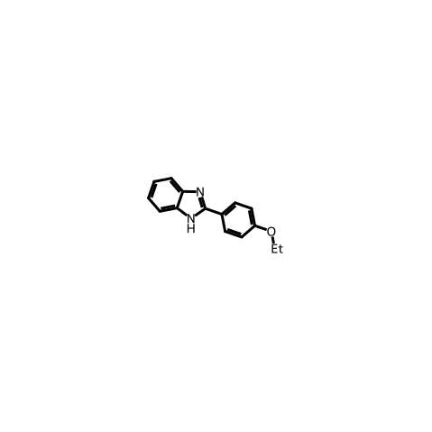 CCOc1ccc(-c2nc3ccccc3[nH]2)cc1